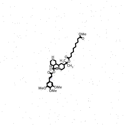 COC(=O)CCCCCCCCC(=O)OC(C)(C)C1CCNC(C2CNCCC2C(C)(C)OC(=O)/C=C/c2cc(OC)c(OC)c(OC)c2)C1